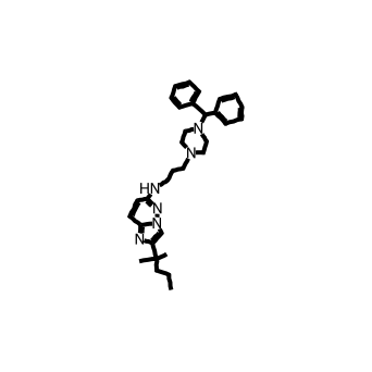 CCCC(C)(C)c1cn2nc(NCCCN3CCN(C(c4ccccc4)c4ccccc4)CC3)ccc2n1